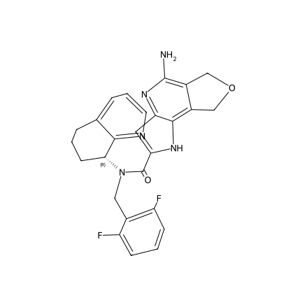 Nc1nc2cc(C(=O)N(Cc3c(F)cccc3F)[C@@H]3CCCc4cccnc43)[nH]c2c2c1COC2